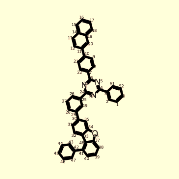 c1ccc(-c2nc(-c3ccc(-c4ccc5ccccc5c4)cc3)nc(-c3cccc(-c4ccc5c(c4)oc4cccc(-c6ccccc6)c45)c3)n2)cc1